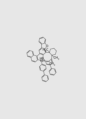 Cc1c2cc(-c3ccccc3)cc1C1(C)CCCCC1(C)c1c(c(-c3c(Nc4ccc(-c5ccccc5)cc4)ccc4ccccc34)cc3c1oc1ccccc13)B2